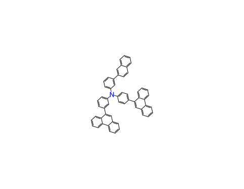 c1cc(-c2ccc3ccccc3c2)cc(N(c2ccc(-c3cc4ccccc4c4ccccc34)cc2)c2cccc(-c3cc4ccccc4c4ccccc34)c2)c1